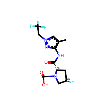 Cc1cn(CC(F)(F)F)nc1NC(=O)[C@@H]1C[C@@H](F)CN1C(=O)O